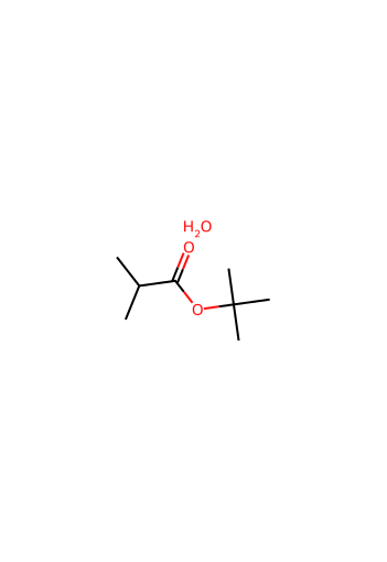 CC(C)C(=O)OC(C)(C)C.O